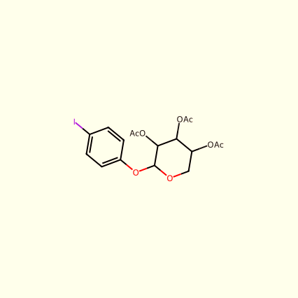 CC(=O)OC1COC(Oc2ccc(I)cc2)C(OC(C)=O)C1OC(C)=O